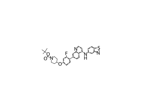 CC(C)(C)OC(=O)N1CCC(Oc2ccc(-c3ccc4c(Nc5ccc6scnc6c5)ccnc4c3)c(F)c2)CC1